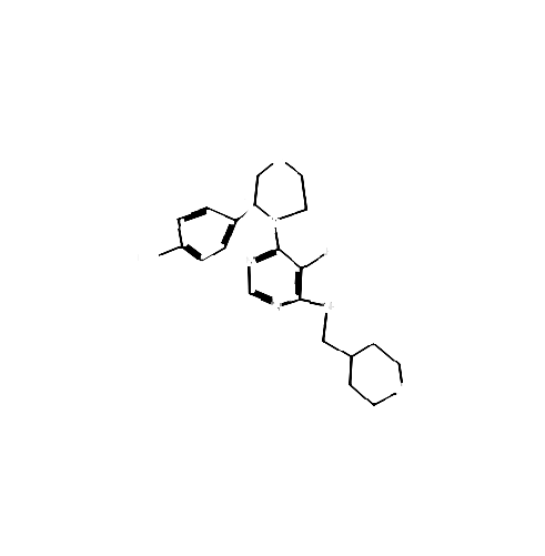 Fc1c(NCC2CCOCC2)ncnc1N1CCOC[C@@H]1c1ccc(C(F)(F)F)cc1